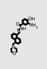 Nc1cc(C(=O)N/N=C/c2cccc3c(CN4CCOCC4)cccc23)ccc1O